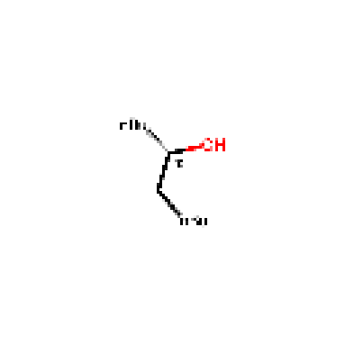 CCCCC[C@@H](O)CCCC